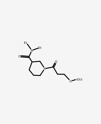 CCCCCCCCOCCC(=O)N1CCCC(C(=O)N(CC)CC)C1